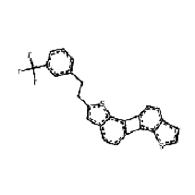 FC(F)(F)c1cccc(CCc2cc3ccc4c(c3s2)-c2ccc3ccsc3c2-4)c1